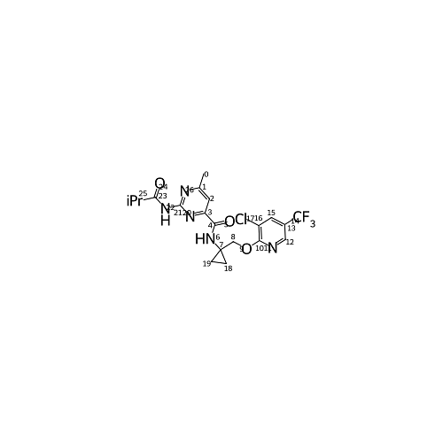 Cc1cc(C(=O)NC2(COc3ncc(C(F)(F)F)cc3Cl)CC2)nc(NC(=O)C(C)C)n1